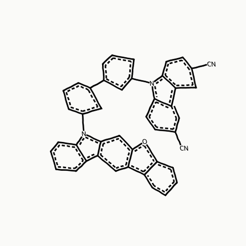 N#Cc1ccc2c(c1)c1cc(C#N)ccc1n2-c1cccc(-c2cccc(-n3c4ccccc4c4cc5c(cc43)oc3ccccc35)c2)c1